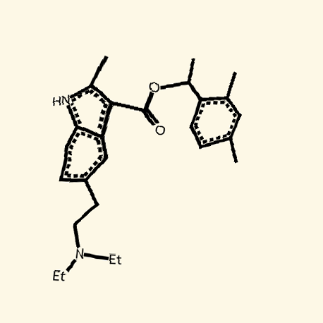 CCN(CC)CCc1ccc2[nH]c(C)c(C(=O)OC(C)c3ccc(C)cc3C)c2c1